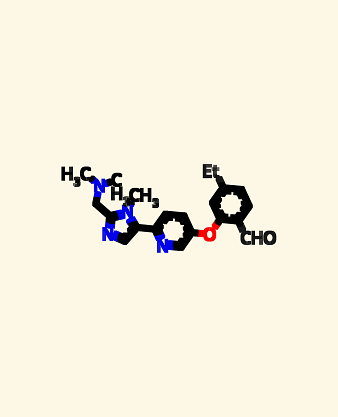 CCc1ccc(C=O)c(Oc2ccc(-c3cnc(CN(C)C)n3C)nc2)c1